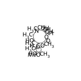 CO[C@]1(C)C[C@H](O[C@H]2[C@H](C)C[C@](C)(O)C[C@@H](C)CN(C)[C@H](C)[C@@H](O)[C@](C)(O)[C@@H](C(C)C)OC(=O)[C@@H]2C)O[C@@H](C)[C@@H]1O